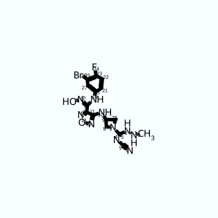 CNNC(=NC#N)N1CC(Nc2nonc2C(=NO)Nc2ccc(F)c(Br)c2)C1